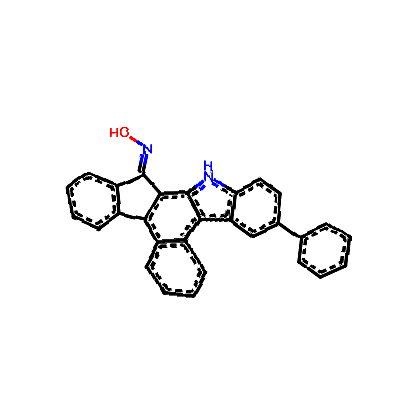 O/N=C1\c2ccccc2-c2c1c1[nH]c3ccc(-c4ccccc4)cc3c1c1ccccc21